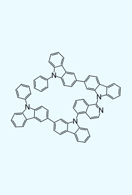 c1ccc(-n2c3ccccc3c3cc(-c4ccc5c6ccccc6n(-c6cccc7c(-n8c9ccccc9c9ccc(-c%10ccc%11c(c%10)c%10ccccc%10n%11-c%10ccccc%10)cc98)nccc67)c5c4)ccc32)cc1